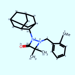 CSc1ccccc1CN1N(C2C3CC4CC(C3)CC2C4)C(=O)C1(C)C